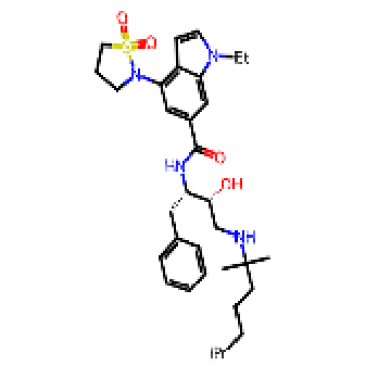 CCn1ccc2c(N3CCCS3(=O)=O)cc(C(=O)N[C@@H](Cc3ccccc3)[C@H](O)CNC(C)(C)CCCC(C)C)cc21